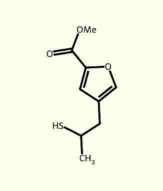 COC(=O)c1cc(CC(C)S)co1